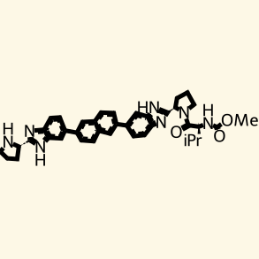 COC(=O)N[C@H](C(=O)N1CCC[C@H]1c1nc2ccc(-c3ccc4cc(-c5ccc6nc([C@@H]7CCCN7)[nH]c6c5)ccc4c3)cc2[nH]1)C(C)C